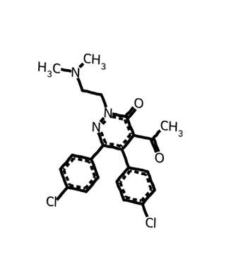 CC(=O)c1c(-c2ccc(Cl)cc2)c(-c2ccc(Cl)cc2)nn(CCN(C)C)c1=O